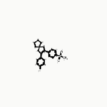 CS(=O)(=O)c1ccc(C2=C(c3ccc(I)cc3)CC3(CCCC3)C2)cc1